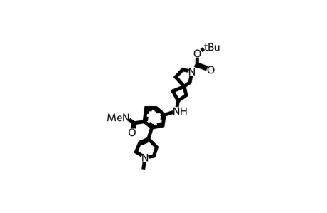 CNC(=O)c1ccc(NC2CC3(CCN(C(=O)OC(C)(C)C)C3)C2)cc1C1=CCN(C)CC1